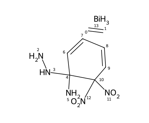 C=C.NNC1(N)C=CC=CC1([N+](=O)[O-])[N+](=O)[O-].[BiH3]